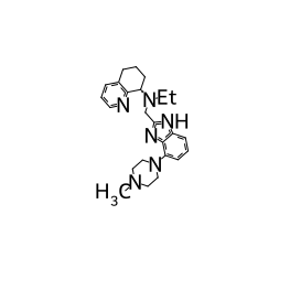 CCN(Cc1nc2c(N3CCN(C)CC3)cccc2[nH]1)[C@@H]1CCCc2cccnc21